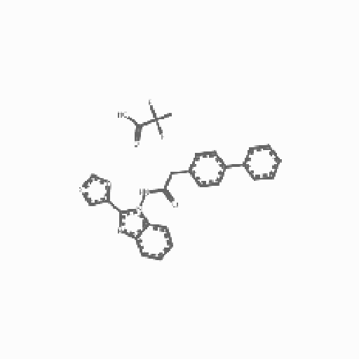 O=C(Cc1ccc(-c2ccccc2)cc1)Nn1c(-c2cscn2)nc2ccccc21.O=C(O)C(F)(F)F